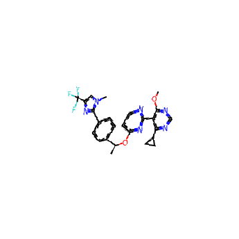 COc1ncnc(C2CC2)c1-c1nccc(O[C@@H](C)c2ccc(-c3nc(C(F)(F)F)cn3C)cc2)n1